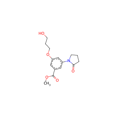 COC(=O)c1cc(OCCCO)cc(N2CCCC2=O)c1